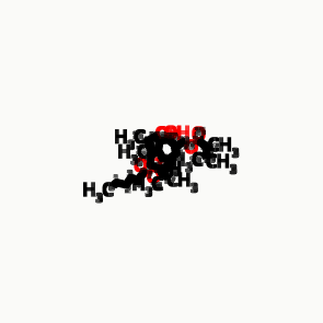 CCCCCC(=O)O[C@@]12C[C@@H](C)C34C=C(C)CC3(O)C(O)C(COC(=O)C(C)C(C)C)=CC(C4=O)[C@H]1C2(C)C